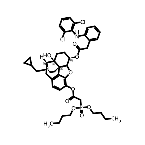 CCCCOP(=O)(CC(=O)Oc1ccc2c3c1OC1[C@H](OC(=O)Cc4ccccc4Nc4c(Cl)cccc4Cl)CC[C@@]4(O)[C@@H](C2)N(CC2CC2)CC[C@]314)OCCCC